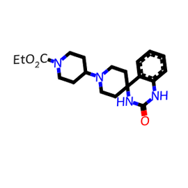 CCOC(=O)N1CCC(N2CCC3(CC2)NC(=O)Nc2ccccc23)CC1